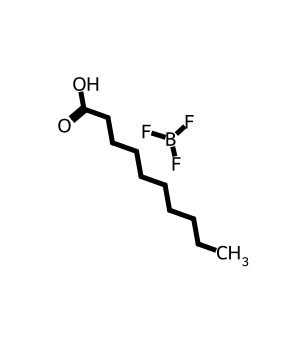 CCCCCCCCCC(=O)O.FB(F)F